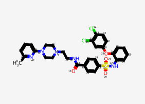 Cc1cccc(N2CCN(CCNC(=O)c3ccc(S(=O)(=O)Nc4ccccc4Oc4ccc(Cl)c(Cl)c4)cc3)CC2)n1